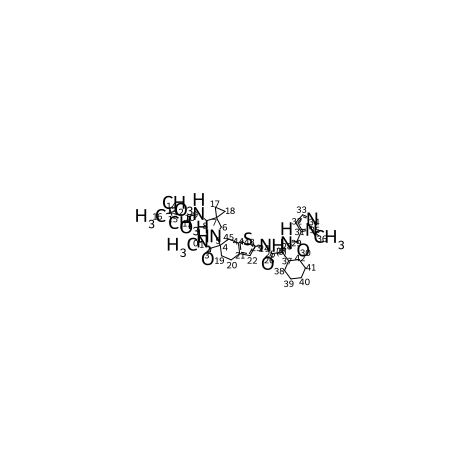 CNC(=O)C1(NCC2(CNC(=O)OC(C)(C)C)CC2)CCc2cc(NC(=O)[C@@H](NC(=O)c3ccnn3C)C3CCCCC3)sc2C1